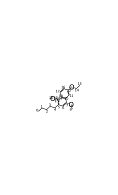 CCCCCc1cc(OC)c2cc(OCC)ccc2[n+]1[O-]